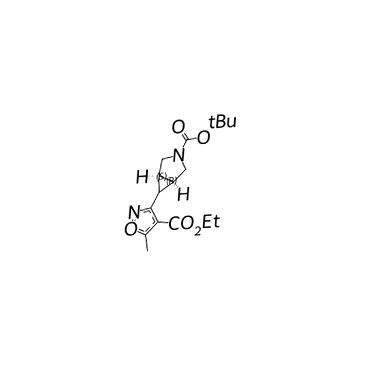 CCOC(=O)c1c(C2[C@H]3CN(C(=O)OC(C)(C)C)C[C@@H]23)noc1C